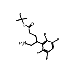 CC(C)(C)OC(=O)CCC(CN)c1c(F)c(F)cc(F)c1F